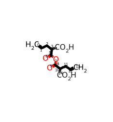 C=CCC(C(=O)O)C(=O)OC(=O)C(CC=C)C(=O)O